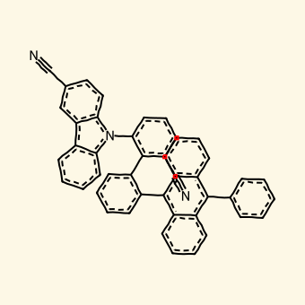 N#Cc1ccc2c(c1)c1ccccc1n2-c1cccc(C#N)c1-c1ccccc1-c1c2ccccc2c(-c2ccccc2)c2ccccc12